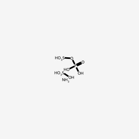 N.O=P(O)(O)OS(=O)(=O)O.O=S(=O)(O)O